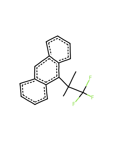 CC(C)(c1c2ccccc2cc2ccccc12)C(F)(F)F